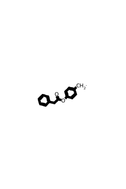 [CH2]c1ccc(OC(=O)Cc2ccccc2)cc1